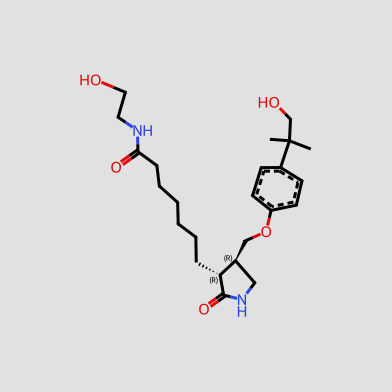 CC(C)(CO)c1ccc(OC[C@H]2CNC(=O)[C@@H]2CCCCCCC(=O)NCCO)cc1